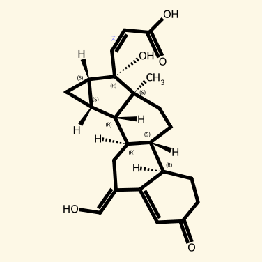 C[C@]12CC[C@H]3[C@@H](CC(=CO)C4=CC(=O)CC[C@@H]43)[C@@H]1[C@@H]1C[C@@H]1[C@@]2(O)/C=C\C(=O)O